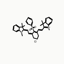 CN1C(=CC=C2CCCC(C=CC3=[N+](C)c4ccccc4C3(C)C)=C2S(=O)(=O)c2ccccc2)C(C)(C)c2ccccc21.[Cl-]